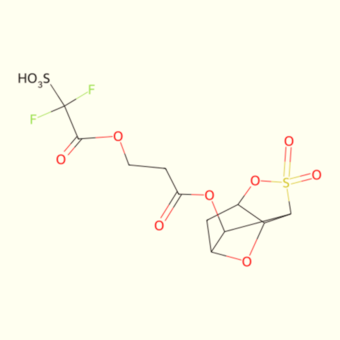 O=C(CCOC(=O)C(F)(F)S(=O)(=O)O)OC1C2CC3OS(=O)(=O)C1C3O2